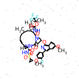 COc1ccc2c(O[C@@H]3C[C@H]4C(=O)N[C@]5(C(=O)NS(=O)(=O)C6CC6)C[C@H]5C=CCC[C@@H](C)C[C@@H](C)[C@H](NC(=O)OC(C)(C)C(F)(F)F)C(=O)N4C3)nc(-c3ccc(OC)c(F)c3)cc2c1